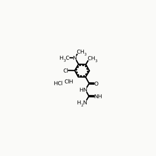 Cc1cc(C(=O)NC(=N)N)cc(Cl)c1N(C)C.Cl.Cl